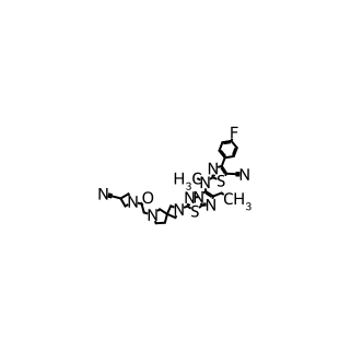 CCc1nc2sc(N3CC4(CCN(CC(=O)N5CC(C#N)C5)C4)C3)nn2c1N(C)c1nc(-c2ccc(F)cc2)c(C#N)s1